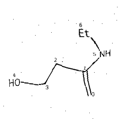 C=C(CCO)NCC